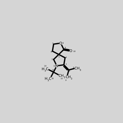 CC(C)=C1CC2(CCOC2=O)CN1C(C)(C)C